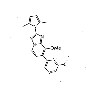 COc1c(-c2cncc(Cl)n2)ccn2nc(-n3c(C)ccc3C)nc12